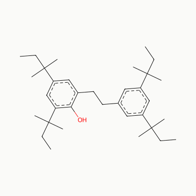 CCC(C)(C)c1cc(CCc2cc(C(C)(C)CC)cc(C(C)(C)CC)c2O)cc(C(C)(C)CC)c1